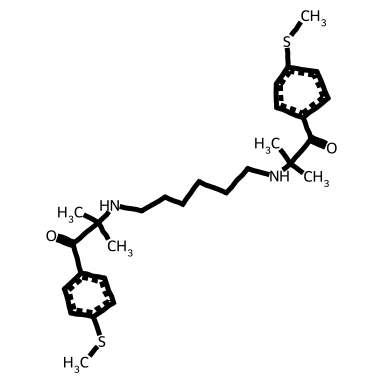 CSc1ccc(C(=O)C(C)(C)NCCCCCCNC(C)(C)C(=O)c2ccc(SC)cc2)cc1